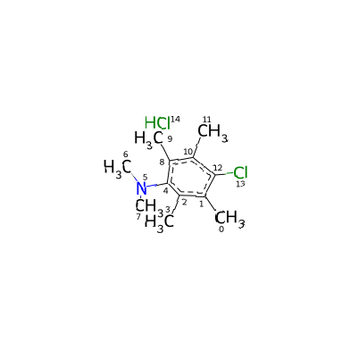 Cc1c(C)c(N(C)C)c(C)c(C)c1Cl.Cl